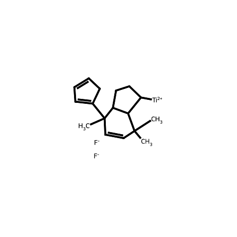 CC1(C)C=CC(C)(C2=CC=CC2)C2CC[CH]([Ti+2])C21.[F-].[F-]